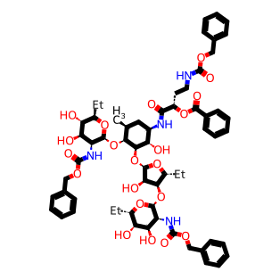 CC[C@@H]1O[C@H](O[C@H]2[C@@H](O)[C@H](O[C@@H]3[C@@H](O)[C@H](NC(=O)[C@H](CCNC(=O)OCc4ccccc4)OC(=O)c4ccccc4)C[C@H](C)[C@H]3O[C@H]3O[C@H](CC)[C@@H](O)[C@H](O)[C@H]3NC(=O)OCc3ccccc3)O[C@@H]2CC)[C@H](NC(=O)OCc2ccccc2)[C@@H](O)[C@@H]1O